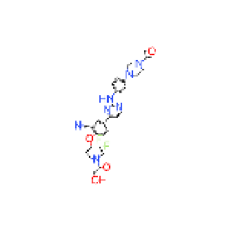 N#Cc1cc(-c2ccnc(Nc3ccc(N4CCN(C5COC5)CC4)cc3)n2)ccc1OC1CCN(C(=O)CO)CC1(F)F